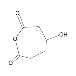 O=C1CCC(O)CC(=O)O1